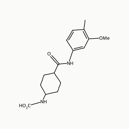 COc1cc(NC(=O)C2CCC(NC(=O)O)CC2)ccc1C